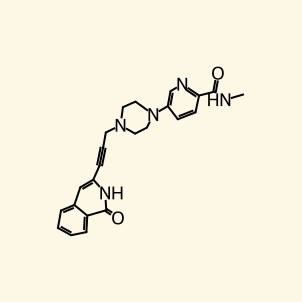 CNC(=O)c1ccc(N2CCN(CC#Cc3cc4ccccc4c(=O)[nH]3)CC2)cn1